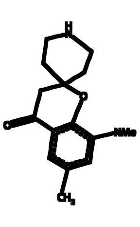 CNc1cc(C)cc2c1OC1(CCNCC1)CC2=O